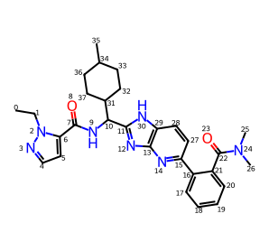 CCn1nccc1C(=O)NC(c1nc2nc(-c3ccccc3C(=O)N(C)C)ccc2[nH]1)C1CCC(C)CC1